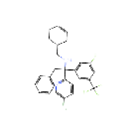 Fc1cc(C(F)(F)F)cc(C(Cc2ccccc2)(NCC2CC=CCC2)c2ccc(Cl)cn2)c1